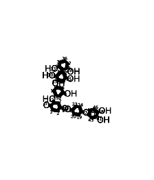 O=C1C=CC(=O)C=C1.Oc1cc(O)cc(O)c1.Oc1ccc(O)cc1.Oc1ccc(O)cc1.Oc1cccc(O)c1.Oc1ccccc1O